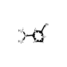 CC(C)c1ncnc(N(C)C)n1